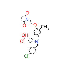 Cc1cc(CN(Cc2ccc(Cl)cc2)[C@H]2C[C@@H](C(=O)O)C2)ccc1OCCN1C(=O)CCC1=O